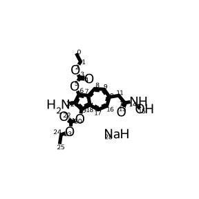 CCOC(=O)Oc1c2ccc(CC(=O)NO)ccc-2c(OC(=O)OCC)c1N.[NaH]